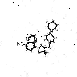 N#Cc1ccc(N2CC(CN3CCC(N4CCCCC4)CC3)C3(CC3)C2)c2nccnc12